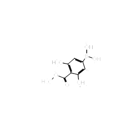 COC(=O)c1c(C)cc(B(O)O)cc1C